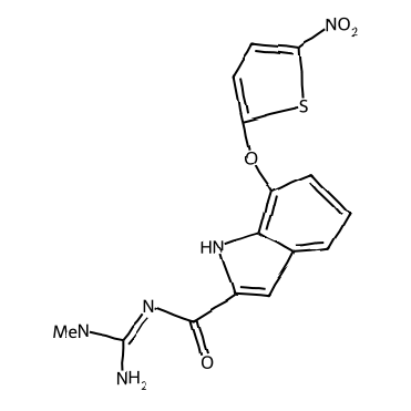 CNC(N)=NC(=O)c1cc2cccc(Oc3ccc([N+](=O)[O-])s3)c2[nH]1